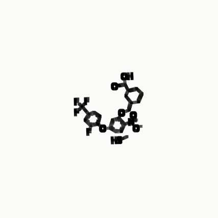 CS.O=C(O)C1=CC=CC(=COc2cc(Oc3ccc(C(F)(F)F)cc3F)ccc2[N+](=O)[O-])C1